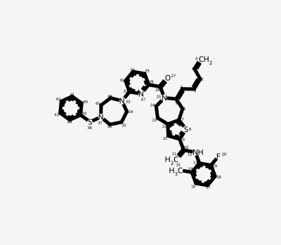 C=C/C=C\C=C1/Cc2sc(C(=C)Nc3c(C)cccc3F)cc2CCN1C(=O)c1cccc(N2CCCN(Sc3ccccc3)CC2)n1